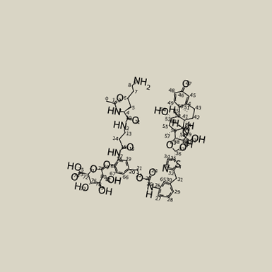 CC(=O)N[C@@H](CCCCN)C(=O)NCCC(=O)Nc1cc(COC(=O)Nc2cccc(Cc3ncc([C@H]4O[C@@H]5C[C@H]6[C@@H]7CCC8=CC(=O)C=C[C@]8(C)[C@H]7[C@@H](O)C[C@]6(C)[C@]5(C(=O)CO)O4)s3)c2)ccc1O[C@@H]1O[C@H](C(=O)O)[C@@H](O)[C@H](O)[C@H]1O